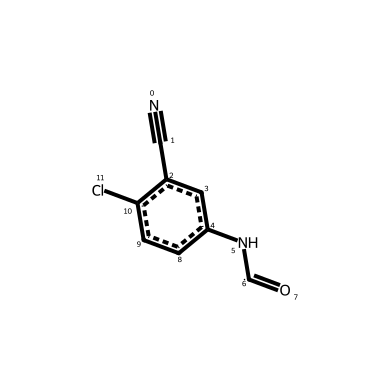 N#Cc1cc(N[C]=O)ccc1Cl